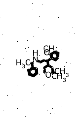 COc1ccccc1C(CCNC(C)c1ccccc1)C1CCOC(C)(C)C1